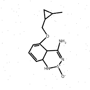 CC1CC1COC1=CC=CC2N[S+]([O-])N=C(N)C12